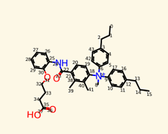 CCCc1ccc([N+](C)(c2ccc(CCC)cc2)c2ccc(C(=O)Nc3ccccc3OCCCC(=O)O)c(C)c2C)cc1